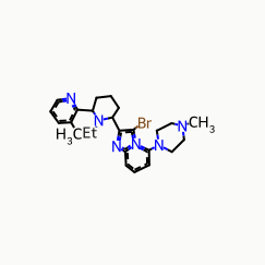 CCN1C(c2ncccc2C)CCCC1c1nc2cccc(N3CCN(C)CC3)n2c1Br